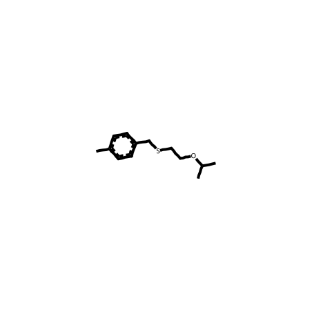 Cc1ccc(CSCCOC(C)C)cc1